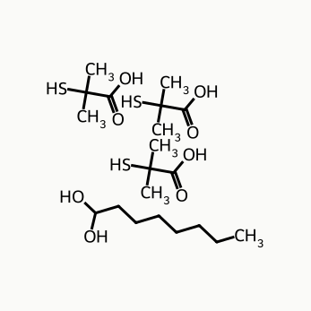 CC(C)(S)C(=O)O.CC(C)(S)C(=O)O.CC(C)(S)C(=O)O.CCCCCCCC(O)O